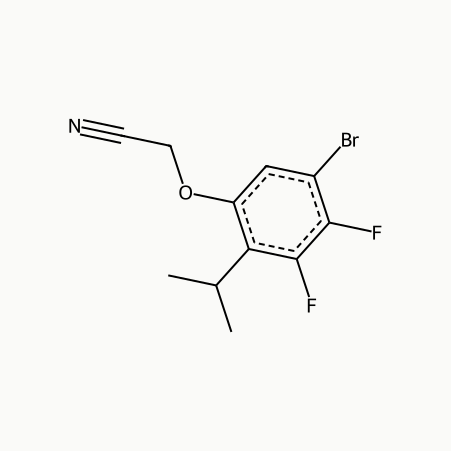 CC(C)c1c(OCC#N)cc(Br)c(F)c1F